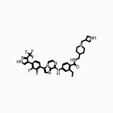 CCc1cc(Nc2nccn3c(-c4ccc(-c5c[nH]nc5C(F)(F)F)c(F)c4F)cnc23)ccc1C(=O)NCC1CCN(CC2CNC2)CC1